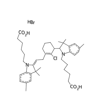 Br.Cc1ccc2c(c1)C(C)(C)C(=CCC1=C(Cl)C(C3N(CCCCCC(=O)O)c4ccc(C)cc4C3(C)C)CCC1)N2CCCCCC(=O)O